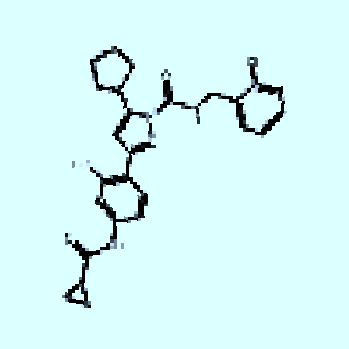 O=C(Nc1ccc(-c2cc(C3CCCC3)n(C(=O)NCc3ccccc3Cl)n2)c(O)c1)C1CC1